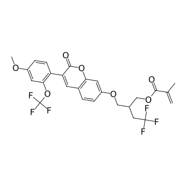 C=C(C)C(=O)OCC(COc1ccc2cc(-c3ccc(OC)cc3OC(F)(F)F)c(=O)oc2c1)CC(F)(F)F